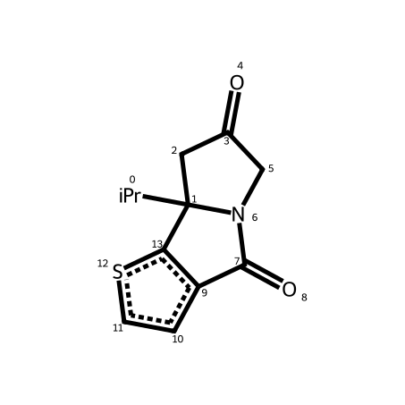 CC(C)C12CC(=O)CN1C(=O)c1ccsc12